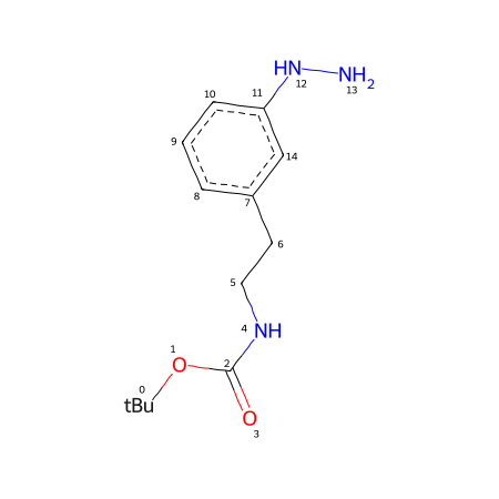 CC(C)(C)OC(=O)NCCc1cccc(NN)c1